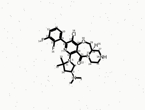 CN(C)[C@@H]1CN(c2nc(-c3cccc(F)c3F)c(Cl)c3c2C(=O)N2CCNC[C@@H]2CO3)C(C)(C)C1